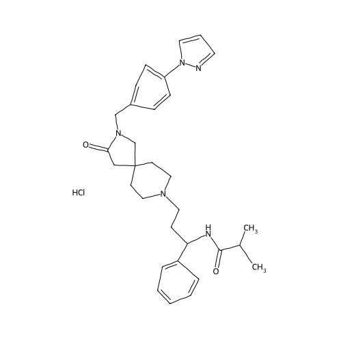 CC(C)C(=O)NC(CCN1CCC2(CC1)CC(=O)N(Cc1ccc(-n3cccn3)cc1)C2)c1ccccc1.Cl